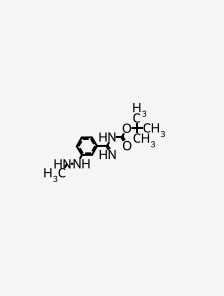 CNNc1cccc(C(=N)NC(=O)OC(C)(C)C)c1